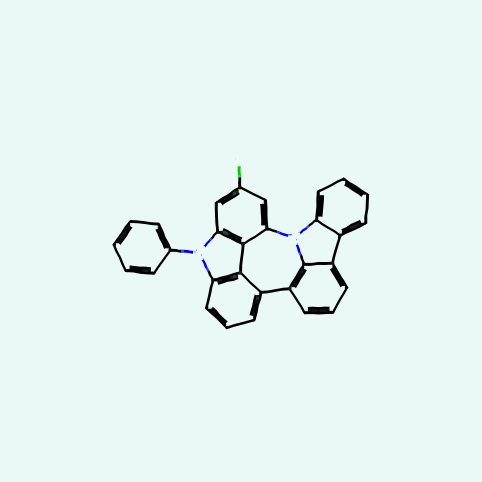 Clc1cc2c3c4c(cccc4n2-c2ccccc2)c2cccc4c5ccccc5n(c3c1)c24